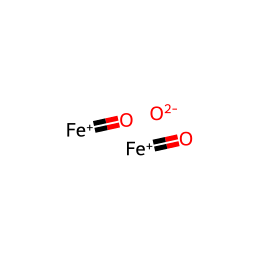 [O-2].[O]=[Fe+].[O]=[Fe+]